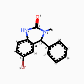 CN1C(=O)Nc2ccc(Br)cc2C1c1ccccc1